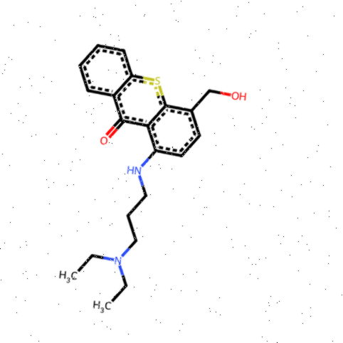 CCN(CC)CCCNc1ccc(CO)c2sc3ccccc3c(=O)c12